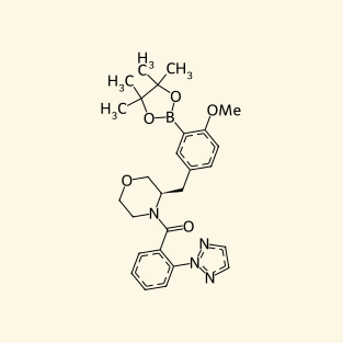 COc1ccc(C[C@@H]2COCCN2C(=O)c2ccccc2-n2nccn2)cc1B1OC(C)(C)C(C)(C)O1